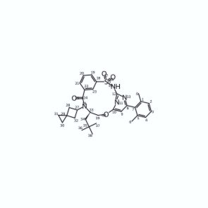 Cc1cccc(C)c1-c1cc2nc(n1)NS(=O)(=O)c1cccc(c1)C(=O)N(C1CC3(CC3)C1)[C@H](CC(C)(C)C)CO2